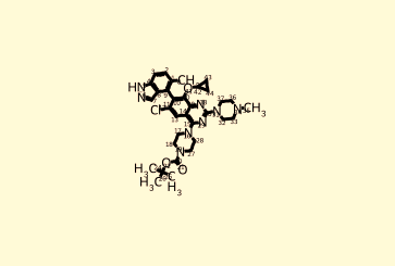 Cc1ccc2[nH]ncc2c1-c1c(Cl)cc2c(N3CCN(C(=O)OC(C)(C)C)CC3)nc(N3CCN(C)CC3)nc2c1OC1CC1